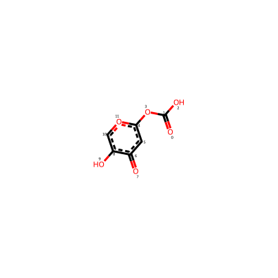 O=C(O)Oc1cc(=O)c(O)co1